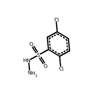 NNS(=O)(=O)c1cc(Cl)ccc1Cl